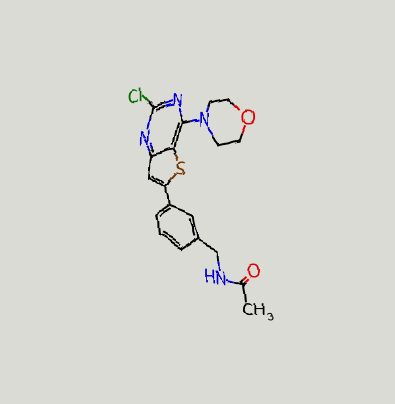 CC(=O)NCc1cccc(-c2cc3nc(Cl)nc(N4CCOCC4)c3s2)c1